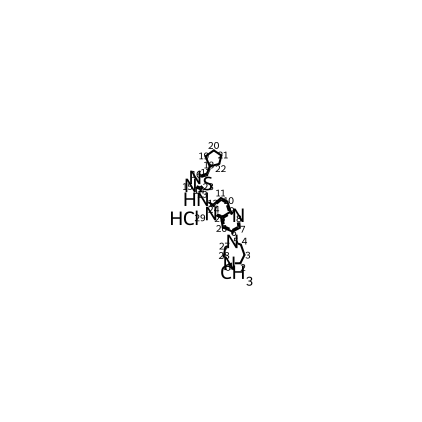 CN1CCCN(c2cnc3ccc(Nc4nnc(C5CCCC5)s4)nc3c2)CC1.Cl